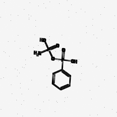 NP(=O)(O)OP(=O)(O)c1ccccc1